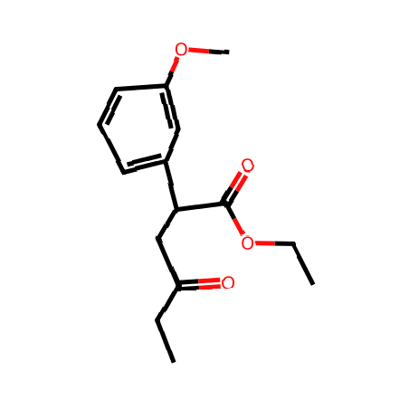 CCOC(=O)C(CC(=O)CC)c1cccc(OC)c1